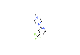 CN1CCN(c2cc(C(F)(F)F)ccn2)CC1